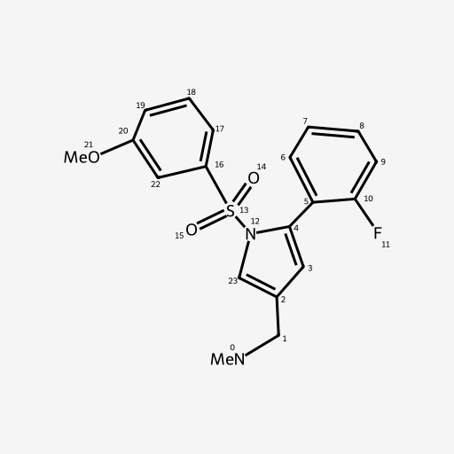 CNCc1cc(-c2ccccc2F)n(S(=O)(=O)c2cccc(OC)c2)c1